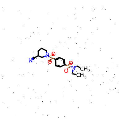 CCN(CC)S(=O)(=O)c1ccc(S(=O)(=O)N2CCCC(C#N)C2)cc1